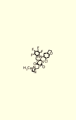 Cn1cnc(Cn2c(=O)nc(Nc3cc4c(cc3Cl)OCC4)n(Cc3cc(F)c(F)c(F)c3F)c2=O)n1